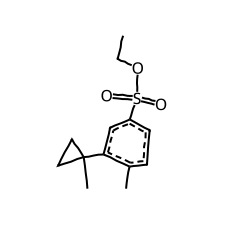 CCOS(=O)(=O)c1ccc(C)c(C2(C)CC2)c1